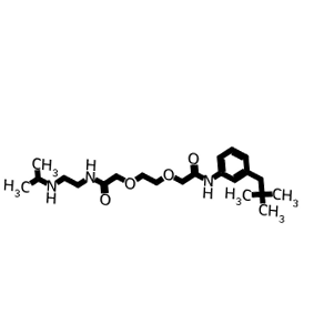 CC(C)NCCNC(=O)COCCOCC(=O)Nc1cccc(CC(C)(C)C)c1